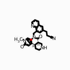 Cn1ccc([C@@H]2CCNC[C@H]2C(=O)N(Cc2cc(CCC#N)cc3cccnc23)C2CC2)cc1=O